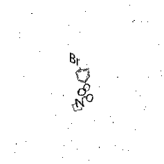 O=C(OOc1ccc(Br)cc1)N1CCC1